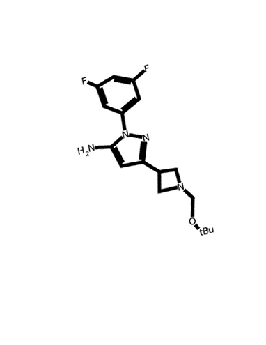 CC(C)(C)OCN1CC(c2cc(N)n(-c3cc(F)cc(F)c3)n2)C1